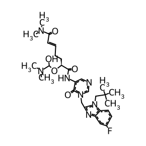 CN(C)C(=O)/C=C/CC[C@H](OC(O)N(C)C)C(=O)Nc1cncn(Cc2nc3cc(F)ccc3n2CC(C)(C)C)c1=O